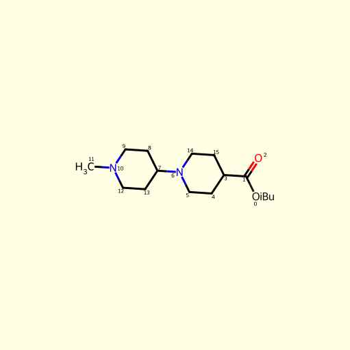 CC(C)COC(=O)C1CCN(C2CCN(C)CC2)CC1